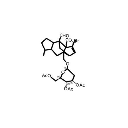 CC(=O)OC[C@H]1O[C@@H](OCC23CC4C(C)CCC4C4(C=O)CC2C=C(C(C)C)C43C(=O)O)C[C@H](OC(C)=O)[C@@H]1OC(C)=O